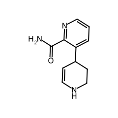 NC(=O)c1ncccc1C1C=CNCC1